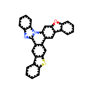 c1ccc2c(c1)nc1c3cc4c(cc3c3cc5c(cc3n21)oc1ccccc15)sc1ccccc14